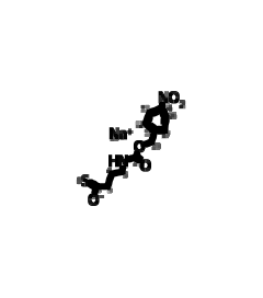 O=C(NCCCC([O-])=S)OCc1ccc([N+](=O)[O-])cc1.[Na+]